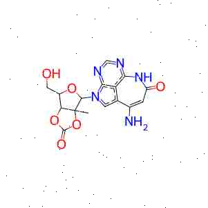 CC12OC(=O)OC1C(CO)OC2n1cc2c3c(ncnc31)NC(=O)C=C2N